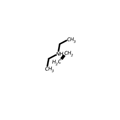 C=C.CCNCC